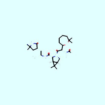 CC1(C)C[C@@H](C[C@@H](C#N)NC(=O)[C@@H]2[C@@H]3[C@H](CN2C(=O)[C@@H](NC(=O)C(F)(F)F)C2CCCCC(C)(C)O2)C3(C)C)C(=O)N1